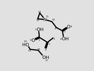 C=C(C)C(=O)O.O=C(O)CCN1CC1.OCCO